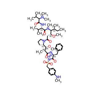 CC[C@H](C)C([C@@H](CC(=O)N1CCC[C@H]1[C@H](OC)[C@@H](C)C(=O)N[C@@H](Cc1ccccc1)C(=O)NS(=O)(=O)Cc1ccc(NC)cc1)OC)N(C)C(=O)[C@@H](NC(=O)C(C(C)C)N(C)C)C(C)C